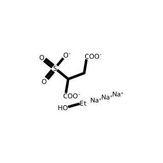 CCO.O=C([O-])CC(C(=O)[O-])S(=O)(=O)[O-].[Na+].[Na+].[Na+]